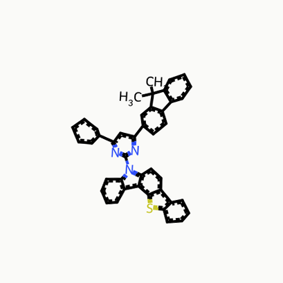 CC1(C)c2ccccc2-c2ccc(-c3cc(-c4ccccc4)nc(-n4c5ccccc5c5c6sc7ccccc7c6ccc54)n3)cc21